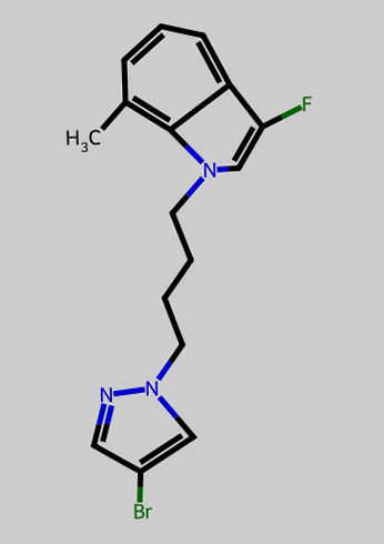 Cc1cccc2c(F)cn(CCCCn3cc(Br)cn3)c12